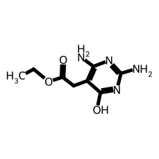 CCOC(=O)Cc1c(N)nc(N)nc1O